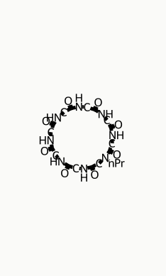 CCCN1CC(=O)NCC(=O)NCC(=O)NCC(=O)NCC(=O)NCC(=O)NCC(=O)NCC1=O